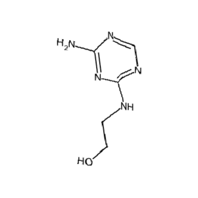 Nc1ncnc(NCCO)n1